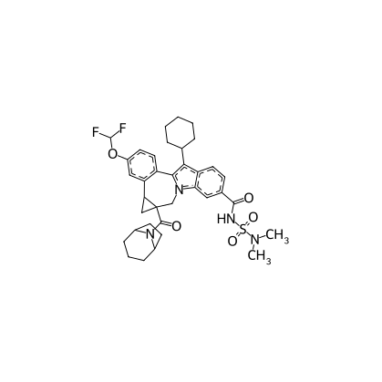 CN(C)S(=O)(=O)NC(=O)c1ccc2c(C3CCCCC3)c3n(c2c1)CC1(C(=O)N2C4CCCC2CC4)CC1c1cc(OC(F)F)ccc1-3